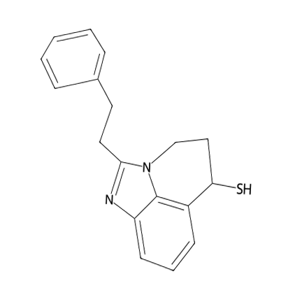 SC1CCn2c(CCc3ccccc3)nc3cccc1c32